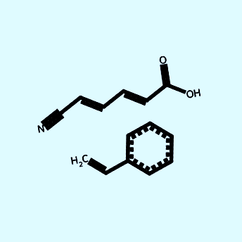 C=Cc1ccccc1.N#CC=CC=CC(=O)O